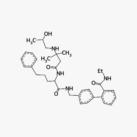 CCNC(=O)c1ccccc1-c1ccc(CNC(=O)C(CCCc2ccccc2)NC(=O)CC(C)(C)NCC(C)O)cc1